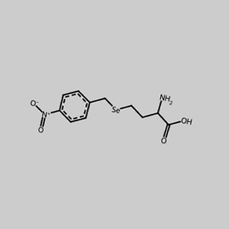 NC(CC[Se]Cc1ccc([N+](=O)[O-])cc1)C(=O)O